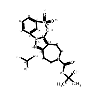 CC(C)(C)OC(=O)N1CCc2nn3c(c2CC1)OS(=O)(=O)c1cccc-3c1.FC(F)F